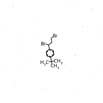 CC(C)(C)c1ccc(C(Br)CCBr)cc1